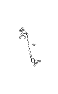 O=C(CCCCCCCCCCOCc1ccc([N+](=O)[O-])c(CO)c1)ON1C(=O)CC(S(=O)(=O)[O-])C1=O.[Na+]